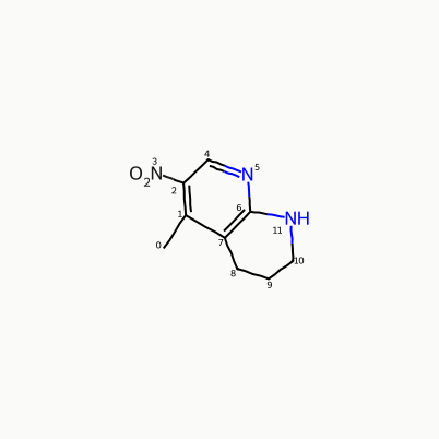 Cc1c([N+](=O)[O-])cnc2c1CCCN2